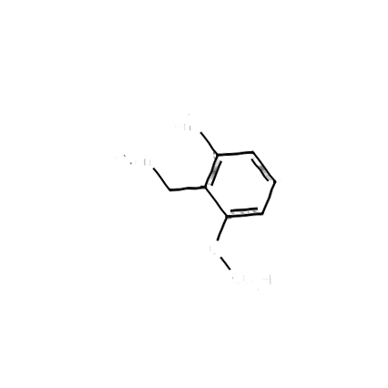 CCCCCCCCCCc1c(CCCCC)cccc1OC(=O)O